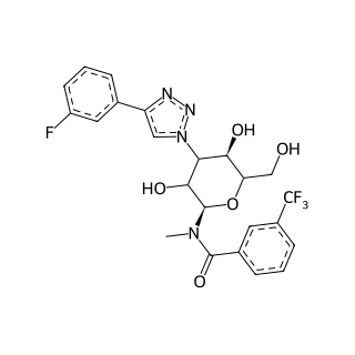 CN(C(=O)c1cccc(C(F)(F)F)c1)[C@@H]1OC(CO)[C@H](O)C(n2cc(-c3cccc(F)c3)nn2)C1O